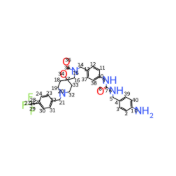 Nc1ccc(CNC(=O)Nc2ccc(CN3CC4(CCN(Cc5ccc(C(F)(F)F)cc5)CC4)OC3=O)cc2)cc1